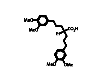 CCC(CCCc1ccc(OC)c(OC)c1)(CCCc1ccc(OC)c(OC)c1)C(=O)O